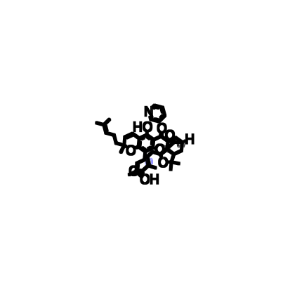 CC(C)=CCCC1(C)C=Cc2c(O)c3c(c(CC=C(C)C)c2O1)O[C@]12C(=C[C@@H]4CC1C(C)(C)OC2(C/C=C(\C)C(=O)O)C4=O)C3=O.c1ccncc1